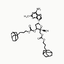 C#C[C@]1(COC(=O)OCCCC23CC4CC(CC(C4)C2)C3)O[C@@H](n2cnc3c(N)nc(C)nc32)C[C@@H]1OC(=O)OCCCC12CC3CC(CC(C3)C1)C2